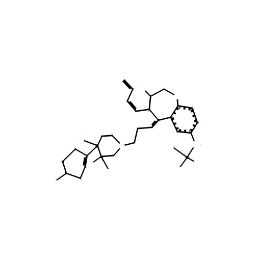 C=C/C=C\C1/C(=C\CCN2CCC(O)(C3=CCC(Cl)CC3)C(C)(C)C2)c2cc(OC(C)(C)C(=O)O)ccc2OCC1N